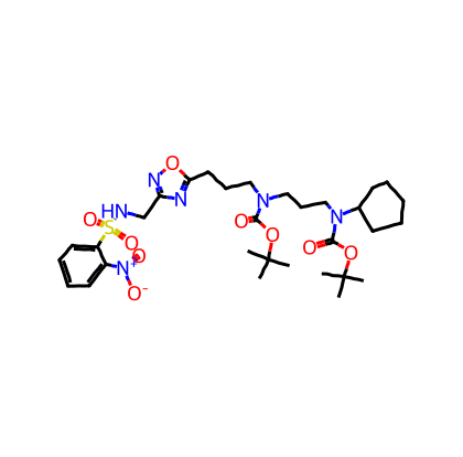 CC(C)(C)OC(=O)N(CCCc1nc(CNS(=O)(=O)c2ccccc2[N+](=O)[O-])no1)CCCN(C(=O)OC(C)(C)C)C1CCCCC1